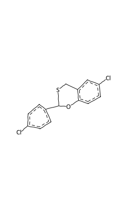 Clc1ccc(C2Oc3ccc(Cl)cc3CS2)cc1